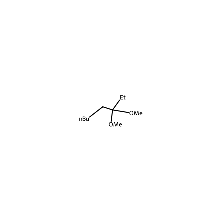 CCCCCC(CC)(OC)OC